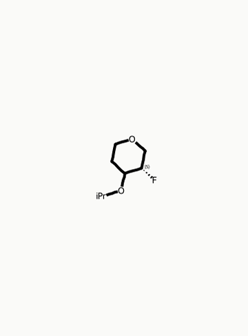 CC(C)OC1CCOC[C@@H]1F